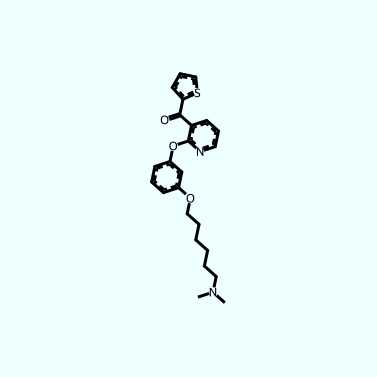 CN(C)CCCCCCOc1cccc(Oc2ncccc2C(=O)c2cccs2)c1